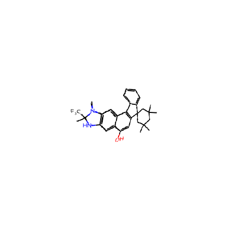 CN1c2cc3c4c(cc(O)c3cc2NC1(C)C(F)(F)F)C1(CC(C)(C)CC(C)(C)C1)c1ccccc1-4